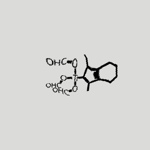 CC1=[C]([Ti]([O]C=O)([O]C=O)[O]C=O)C(C)C2=C1CCCC2